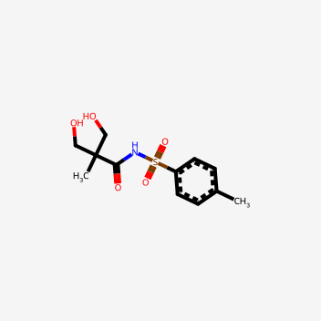 Cc1ccc(S(=O)(=O)NC(=O)C(C)(CO)CO)cc1